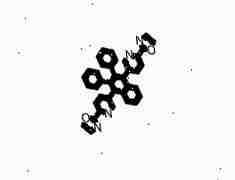 c1ccc(-c2c(-c3ccccc3)c(-c3ccc(-c4ncco4)nc3)c3ccccc3c2-c2ccc(-c3ncco3)nc2)cc1